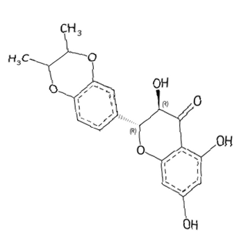 CC1Oc2ccc([C@H]3Oc4cc(O)cc(O)c4C(=O)[C@@H]3O)cc2OC1C